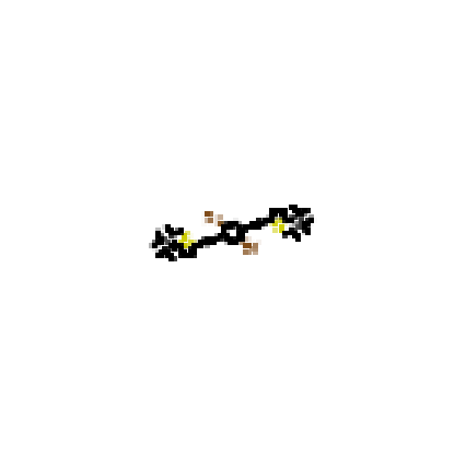 CC(C)[Si](c1ccc(C#Cc2cc(Br)c(C#Cc3ccc([Si](C(C)C)(C(C)C)C(C)C)s3)cc2Br)s1)(C(C)C)C(C)C